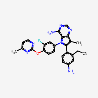 Cc1ccnc(Oc2ccc(-n3c(-c4ccc(N)cc4CC#N)c(C)c4ncnc(N)c43)cc2F)n1